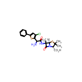 CC1(C)S[C@H]2N(C(=O)C2(C)NC(=O)C(N)c2sc(-c3ccccc3)cc2Cl)[C@H]1C(=O)O